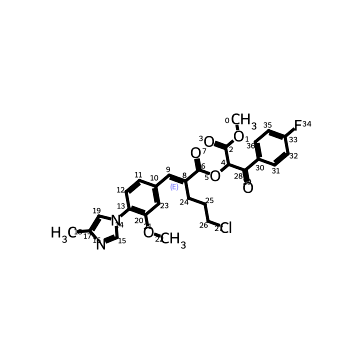 COC(=O)C(OC(=O)/C(=C/c1ccc(-n2cnc(C)c2)c(OC)c1)CCCCl)C(=O)c1ccc(F)cc1